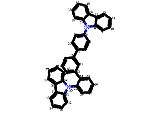 c1cc(-c2ccc(-n3c4ccccc4c4ccccc43)cc2)cc(-c2ccccc2-n2c3ccccc3c3ccccc32)c1